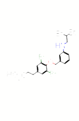 CCC(CC)CNc1cccc(COc2c(Br)cc(CCC(=O)O)cc2Br)c1